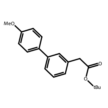 COc1ccc(-c2cccc(CC(=O)OC(C)(C)C)c2)cc1